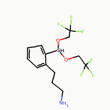 NCCCc1ccccc1[SiH](OCC(F)(F)F)OCC(F)(F)F